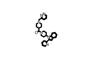 O=C(C1CCN(Cc2cccnn2)CC1)N1CCC(n2c(-c3ccccn3)cc3ccccc32)CC1